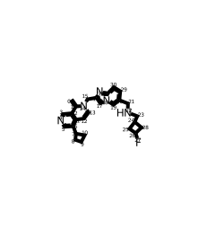 C=C1c2cncc(C3CCC3)c2C=CN1Cc1cn2cc(CNCC3CC(F)C3)ccc2n1